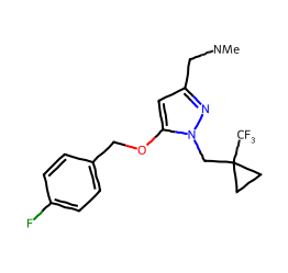 CNCc1cc(OCc2ccc(F)cc2)n(CC2(C(F)(F)F)CC2)n1